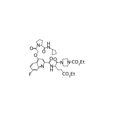 CCOC(=O)CCC(NC(=O)c1cc(OCC(=O)N2CCCC2C(=O)NC2CCC2)c2ccc(F)cc2n1)C(=O)N1CCN(C(=O)OCC)CC1